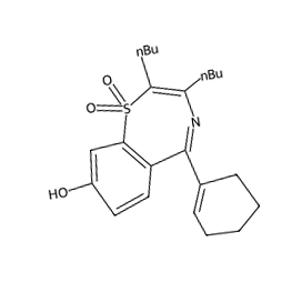 CCCCC1=C(CCCC)S(=O)(=O)c2cc(O)ccc2C(C2=CCCCC2)=N1